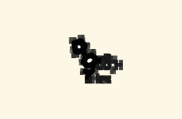 CCCCCCC(C)CC1(C(=O)O)CCC(c2ccccc2)CC1CCCC